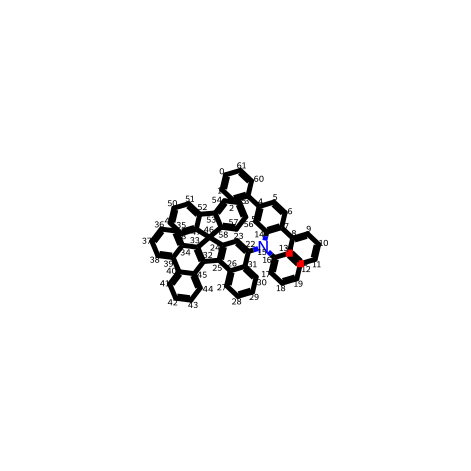 c1ccc(-c2ccc(-c3ccccc3)c(N(c3ccccc3)c3cc4c(c5ccccc35)-c3c(c5ccccc5c5ccccc35)C43c4ccccc4-c4ccccc43)c2)cc1